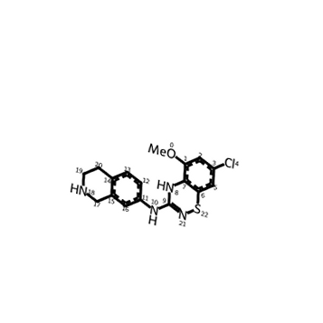 COc1cc(Cl)cc2c1NC(Nc1ccc3c(c1)CNCC3)=NS2